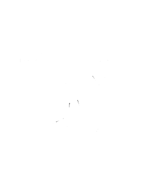 CC(=O)O[C@]1(C(C)=O)CCC2C3C=C(Cl)C4=CC(=O)[C@@H]5C[C@@H]5[C@]4(C)C3[C@H](OC(=O)CCCC(=O)O)C[C@@]21C